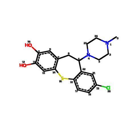 CN1CCN(C2Cc3cc(O)c(O)cc3Sc3ccc(Cl)cc32)CC1